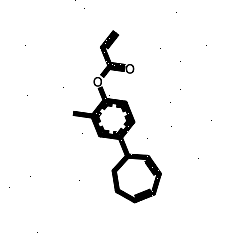 C=CC(=O)Oc1ccc(C2C=CC=CCC2)cc1C